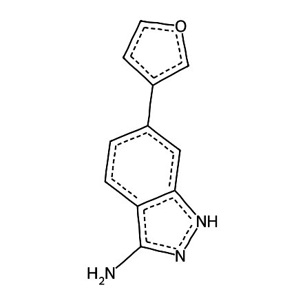 Nc1n[nH]c2cc(-c3ccoc3)ccc12